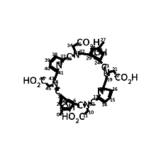 Cc1cc2c(O)c(c1)CN(CC(=O)O)Cc1cccc(n1)CN(CC(=O)O)Cc1cc(C)cc(c1O)CN(CC(=O)O)Cc1cccc(n1)CN(CC(=O)O)C2